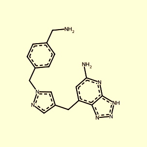 NCc1ccc(Cn2cc(Cc3cc(N)nc4[nH]nnc34)cn2)cc1